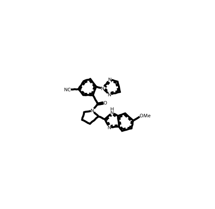 COc1ccc2nc(C3CCCN3C(=O)c3cc(C#N)ccc3-n3nccn3)[nH]c2c1